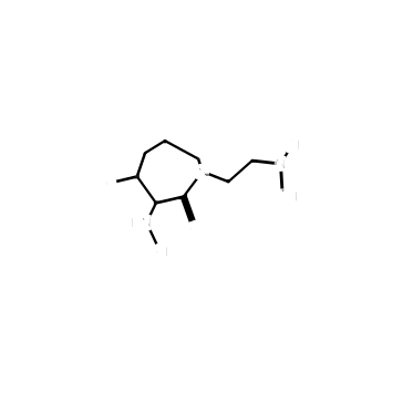 CNC1C(=O)N(CCN(C)C)CCCC1C